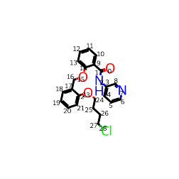 O=C(Nc1cccnc1)c1ccccc1OCc1ccccc1OCCCCCl